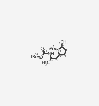 CC(CC1CCC(C)N1C(C)C)NC(=O)OC(C)(C)C